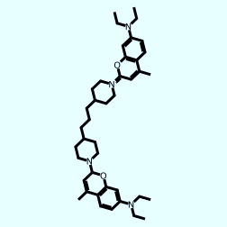 CCN(CC)c1ccc2c(c1)OC(N1CCC(CCCC3CC[N+](=c4cc(C)c5ccc(N(CC)CC)cc5o4)CC3)CC1)C=C2C